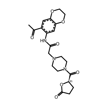 CC(=O)c1cc2c(cc1NC(=O)CN1CCN(C(=O)[C@H]3CCC(=O)O3)CC1)OCCO2